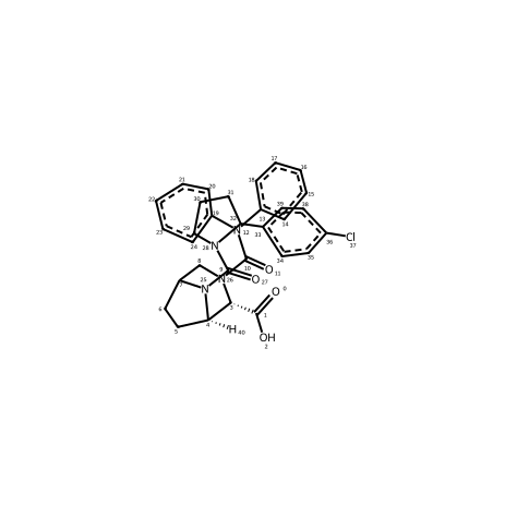 O=C(O)[C@@H]1[C@H]2CCC(CN1C(=O)N(c1ccccc1)c1ccccc1)N2C(=O)N1CCCC1c1ccc(Cl)cc1